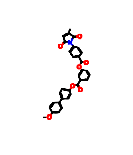 COc1ccc(-c2ccc(OC(=O)c3cccc(OC(=O)c4ccc(N5C(=O)C=C(C)C5=O)cc4)c3)cc2)cc1